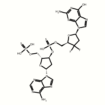 Nc1nc(O)c2ncn([C@H]3CC(F)(F)[C@@H](COP(O)(=S)O[C@H]4C[C@H](n5cnc6c(N)ncnc65)O[C@@H]4COP(O)(O)=S)O3)c2n1